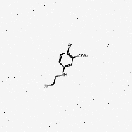 COc1cc(NCCCl)ccc1Br